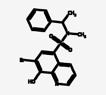 CC(c1ccccc1)N(C)S(=O)(=O)c1cc(Br)c(O)c2ncccc12